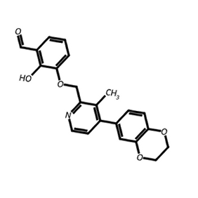 Cc1c(-c2ccc3c(c2)OCCO3)ccnc1COc1cccc(C=O)c1O